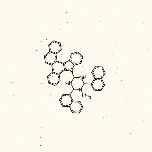 CN1C(c2cccc3ccccc23)NC(n2c3ccccc3c3c4c5ccccc5ccc4c4ccccc4c32)NC1c1cccc2ccccc12